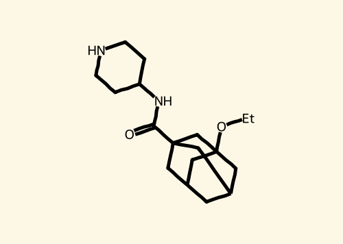 CCOC12CC3CC(C1)CC(C(=O)NC1CCNCC1)(C3)C2